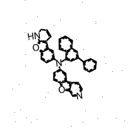 C1=Cc2c(oc3ccc(N(c4ccc5oc6cnccc6c5c4)c4cc(-c5ccccc5)cc5ccccc45)cc23)NC1